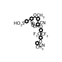 Cc1ccc(-c2cccc(Oc3ccc(C(c4ccc(Oc5cccc(C)c5C#N)cc4)(C(F)(F)F)C(F)(F)F)cc3)c2C#N)cc1C(=O)c1ccc(-c2ccc(S(=O)(=O)O)cc2)c(SOOO)c1